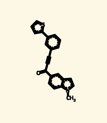 Cn1ccc2cc(C(=O)C#Cc3cccc(-c4cccs4)c3)ccc21